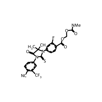 CNC(=O)OCOC(=O)c1ccc(N2C(=S)N(c3ccc(C#N)c(C(F)(F)F)c3)C(=O)C2(C)C)cc1F